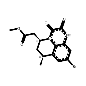 COC(=O)C[C@@H]1C[C@H](C)c2cc(Br)cc3[nH]c(=O)c(=O)n1c23